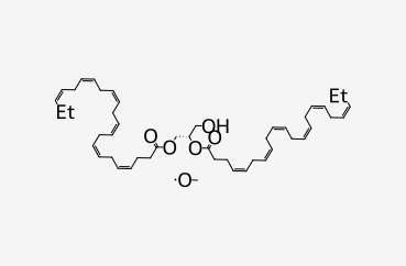 CC/C=C\C/C=C\C/C=C\C/C=C\C/C=C\C/C=C\CCC(=O)OC[C@H](CO)OC(=O)CC/C=C\C/C=C\C/C=C\C/C=C\C/C=C\C/C=C\CC.C[O]